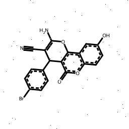 N#CC1=C(N)Oc2c(c(=O)oc3ccc(O)cc23)C1c1ccc(Br)cc1